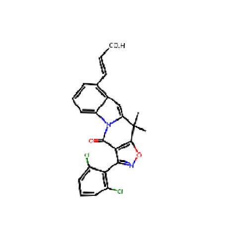 CC1(C)c2onc(-c3c(Cl)cccc3Cl)c2C(=O)n2c1cc1c(/C=C/C(=O)O)cccc12